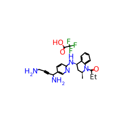 CCC(=O)N1c2ccccc2[C@H](Nc2ccc(C(N)C#CCN)cn2)C[C@@H]1C.O=C(O)C(F)(F)F